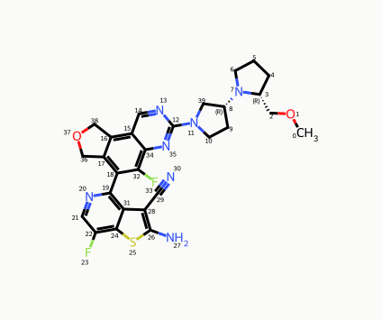 COC[C@H]1CCCN1[C@@H]1CCN(c2ncc3c4c(c(-c5ncc(F)c6sc(N)c(C#N)c56)c(F)c3n2)COC4)C1